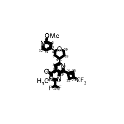 COc1cc([C@@H]2C[C@H](c3cc4c(=O)n(C)c(C(F)F)nc4c(C45CC(C(F)(F)F)(C4)C5)n3)CCO2)ccn1